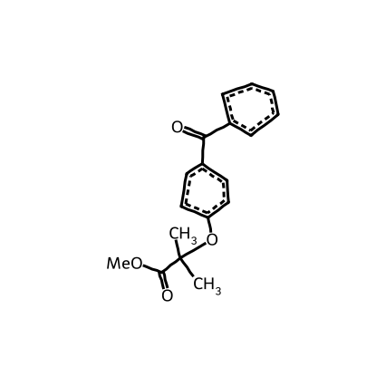 COC(=O)C(C)(C)Oc1ccc(C(=O)c2ccccc2)cc1